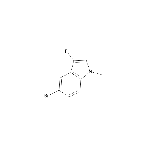 Cn1cc(F)c2cc(Br)ccc21